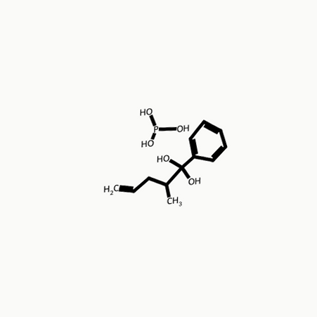 C=CCC(C)C(O)(O)c1ccccc1.OP(O)O